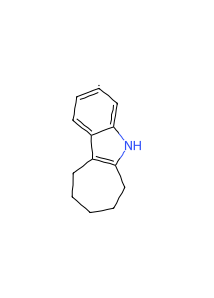 [c]1ccc2c3c([nH]c2c1)CCCCC3